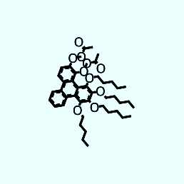 CCCCCOc1c(OCCCCC)c(OCCCCC)c2c3c(OOC(C)=O)c(OOC(C)=O)ccc3c3ccccc3c2c1OCCCCC